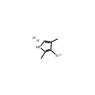 Cc1c[pH]c(C)[c]1[Sc+2].[H-].[H-]